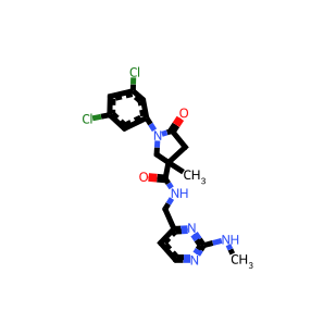 CNc1nccc(CNC(=O)C2(C)CC(=O)N(c3cc(Cl)cc(Cl)c3)C2)n1